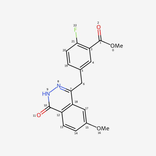 COC(=O)c1cc(Cc2n[nH]c(=O)c3ccc(OC)cc23)ccc1F